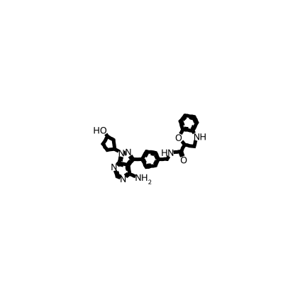 Nc1ncnc2c1c(-c1ccc(CNC(=O)C3CNc4ccccc4O3)cc1)nn2C1CCC(O)C1